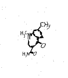 Cc1ccc2c(=O)c(C(N)=O)cn(C)c2c1